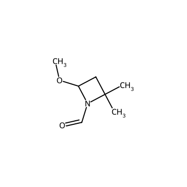 COC1CC(C)(C)N1C=O